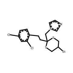 CCC1CSC(CCc2ccc(Cl)cc2Cl)(Cn2ccnc2)SC1